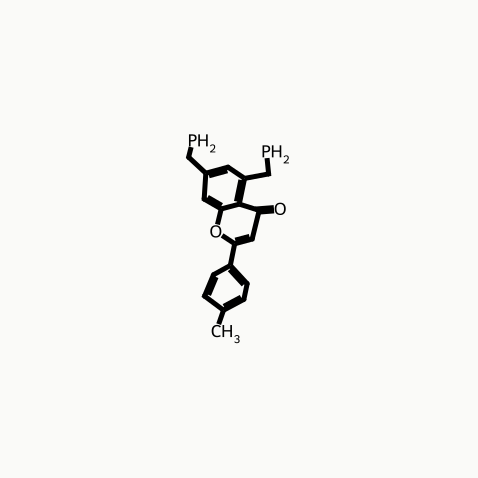 Cc1ccc(-c2cc(=O)c3c(CP)cc(CP)cc3o2)cc1